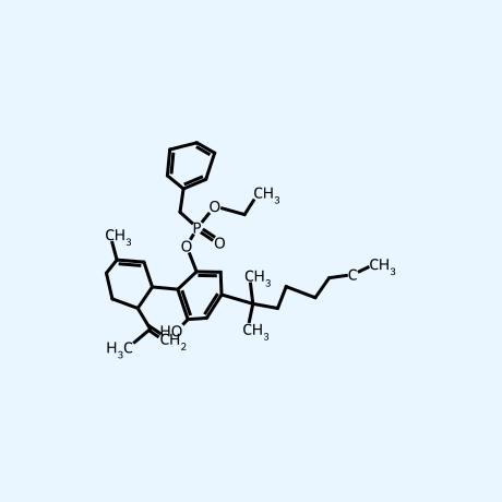 C=C(C)C1CCC(C)=CC1c1c(O)cc(C(C)(C)CCCCCC)cc1OP(=O)(Cc1ccccc1)OCC